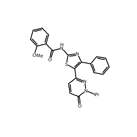 COc1ccccc1C(=O)Nc1nc(-c2ccccc2)c(-c2ccc(=O)n(C(C)C)n2)s1